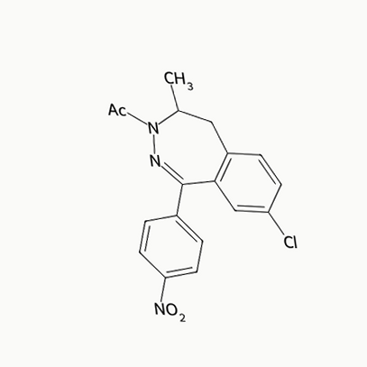 CC(=O)N1N=C(c2ccc([N+](=O)[O-])cc2)c2cc(Cl)ccc2CC1C